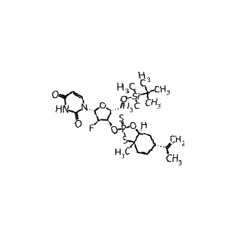 C=C(C)[C@@H]1CC[C@]2(C)SP(=S)(O[C@H]3[C@@H](F)[C@H](n4ccc(=O)[nH]c4=O)O[C@@H]3CO[Si](C)(C)C(C)(C)C)O[C@H]2C1